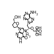 C[C@H](Cn1cnc2c(N)ncnc21)OCP(=O)(O)O.O=c1[nH]cnc2c1ncn2[C@H]1CC[C@@H](CO)O1